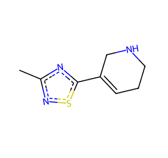 Cc1nsc(C2=CCCNC2)n1